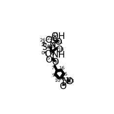 CO[C@@]1(NC(=O)OCc2ccc([N+](=O)[O-])cc2)C(=O)N(S(=O)(=O)O)[C@H]1SC